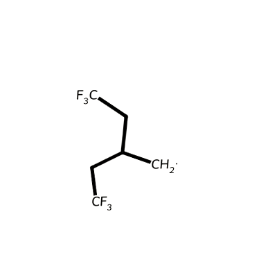 [CH2]C(CC(F)(F)F)CC(F)(F)F